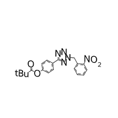 CC(C)(C)C(=O)Oc1ccc(-c2nnn(Cc3ccccc3[N+](=O)[O-])n2)cc1